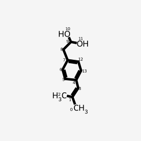 CC(C)=Cc1ccc(CC(O)O)cc1